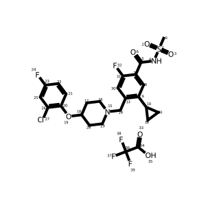 CS(=O)(=O)NC(=O)c1cc(C2CC2)c(CN2CCC(Oc3ccc(F)cc3Cl)CC2)cc1F.O=C(O)C(F)(F)F